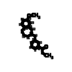 CCC(=O)c1cccc(CN2CCSc3ccc(OC)cc3C2)c1